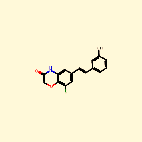 Cc1cccc(C=Cc2cc(F)c3c(c2)NC(=O)CO3)c1